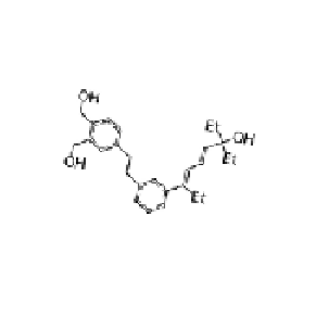 CCC(=CC=CC(O)(CC)CC)c1cccc(CCc2ccc(CO)c(CO)c2)c1